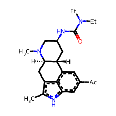 CCN(CC)C(=O)N[C@H]1C[C@@H]2c3cc(C(C)=O)cc4[nH]c(C)c(c34)C[C@H]2N(C)C1